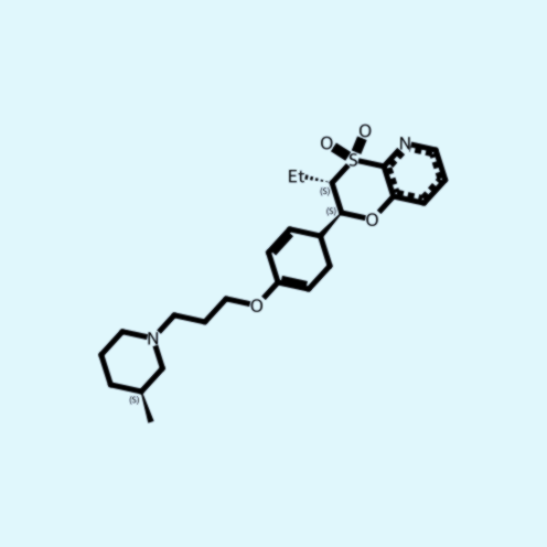 CC[C@H]1[C@H](C2C=CC(OCCCN3CCC[C@H](C)C3)=CC2)Oc2cccnc2S1(=O)=O